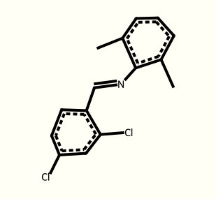 Cc1cccc(C)c1N=Cc1ccc(Cl)cc1Cl